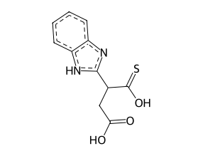 O=C(O)CC(C(O)=S)c1nc2ccccc2[nH]1